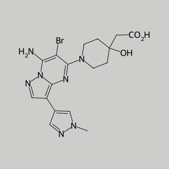 Cn1cc(-c2cnn3c(N)c(Br)c(N4CCC(O)(CC(=O)O)CC4)nc23)cn1